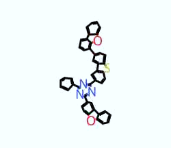 c1ccc(-c2nc(-c3ccc4oc5ccccc5c4c3)nc(-c3ccc4sc5ccc(-c6cccc7c6oc6ccccc67)cc5c4c3)n2)cc1